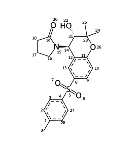 Cc1ccc(S(=O)(=O)c2ccc3c(c2)[C@@H](N2CCCC2=O)[C@H](O)C(C)(C)O3)cc1